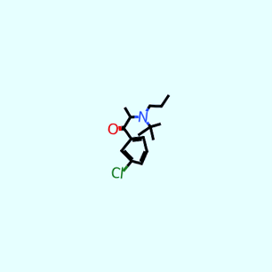 CCCN(C(C)C(=O)c1cccc(Cl)c1)C(C)(C)C